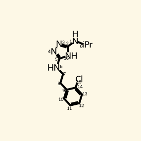 CC(C)Nc1nnc(NCCc2ccccc2Cl)[nH]1